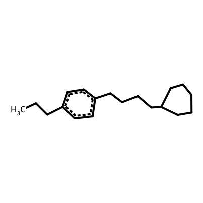 CCCc1ccc(CCCCC2CCCCC2)cc1